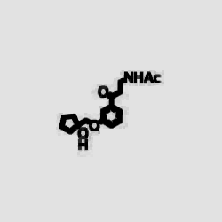 CC(=O)NCCC(=O)c1cccc(OCC2(O)CCCC2)c1